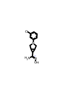 N/C(=N\O)C1C2CN(c3cccc(Cl)c3)CC21